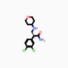 NC(=O)[C@H](CNC1CCOCC1)c1ccc(Cl)c(Cl)c1